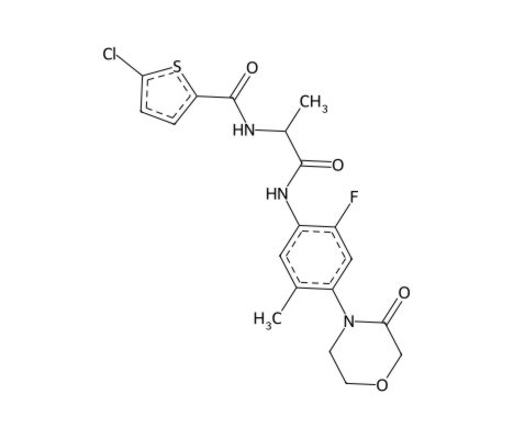 Cc1cc(NC(=O)C(C)NC(=O)c2ccc(Cl)s2)c(F)cc1N1CCOCC1=O